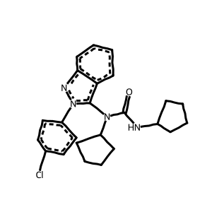 O=C(NC1CCCC1)N(c1c2ccccc2nn1-c1ccc(Cl)cc1)C1CCCC1